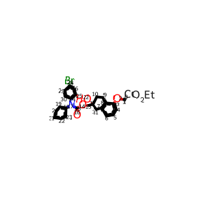 CCOC(=O)COc1cccc2c1CC[C@](O)(COC(=O)N(c1ccccc1)c1ccc(Br)cc1)C2